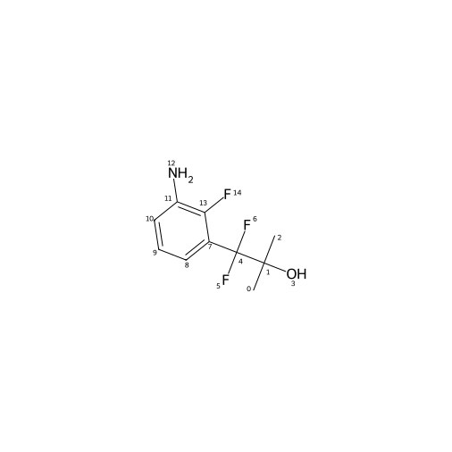 CC(C)(O)C(F)(F)c1cccc(N)c1F